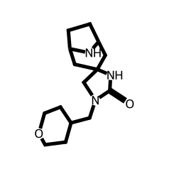 O=C1NC2(CC3CCC(C2)N3)CN1CC1CCOCC1